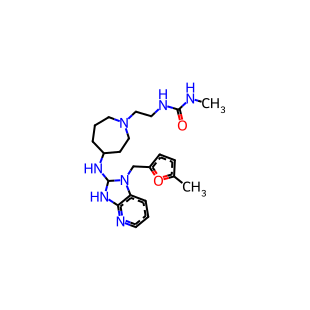 CNC(=O)NCCN1CCCC(NC2Nc3ncccc3N2Cc2ccc(C)o2)CC1